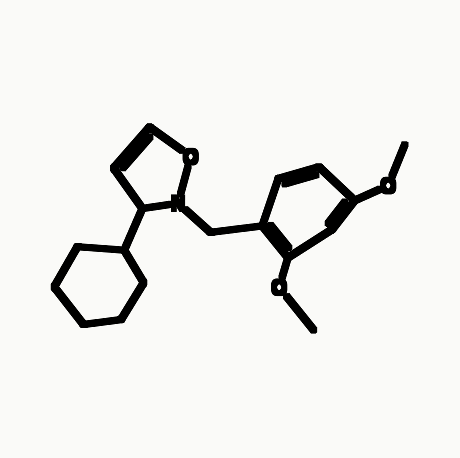 COc1ccc(CN2OC=CC2C2CCCCC2)c(OC)c1